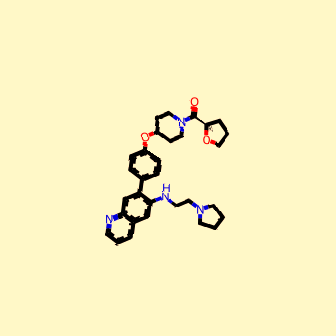 O=C([C@H]1CCCO1)N1CCC(Oc2ccc(-c3cc4ncccc4cc3NCCN3CCCC3)cc2)CC1